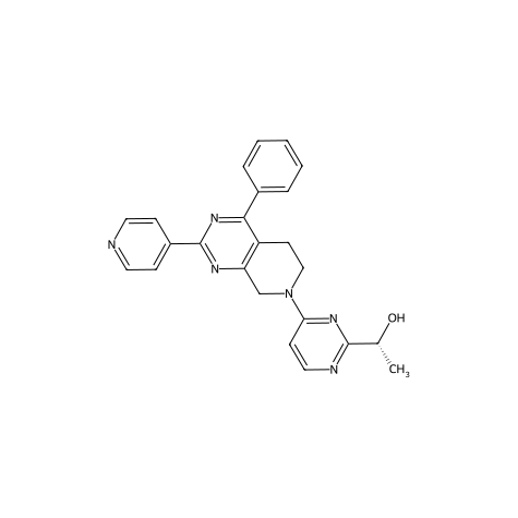 C[C@@H](O)c1nccc(N2CCc3c(nc(-c4ccncc4)nc3-c3ccccc3)C2)n1